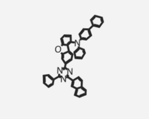 c1ccc(-c2ccc(N(c3ccccc3)c3cccc4oc5cc(-c6nc(-c7ccccc7)nc(-c7ccc8ccccc8c7)n6)ccc5c34)cc2)cc1